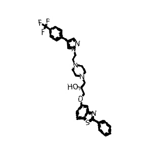 O[C@@H](COc1ccc2sc(-c3ccccc3)nc2c1)CN1CCN(CCn2cc(-c3ccc(C(F)(F)F)cc3)cn2)CC1